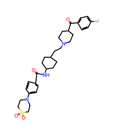 O=C(NC1CCC(CCN2CCC(C(=O)c3ccc(F)cc3)CC2)CC1)c1ccc(N2CCS(=O)(=O)CC2)cc1